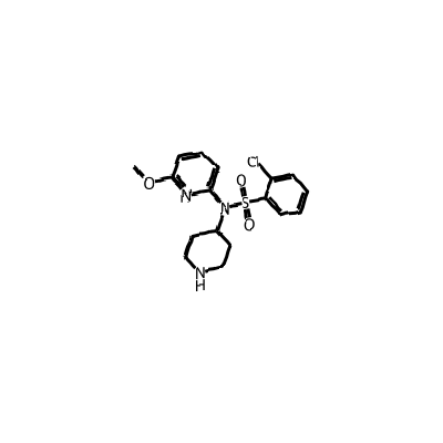 COc1cccc(N(C2CCNCC2)S(=O)(=O)c2ccccc2Cl)n1